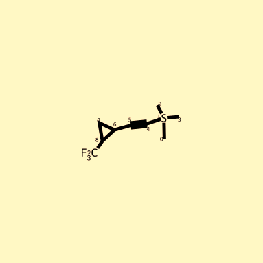 CS(C)(C)C#CC1CC1C(F)(F)F